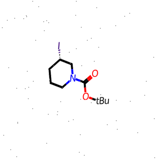 CC(C)(C)OC(=O)N1CCC[C@H](I)C1